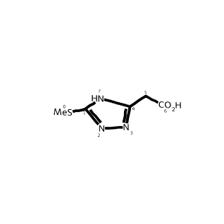 [CH2]Sc1nnc(CC(=O)O)[nH]1